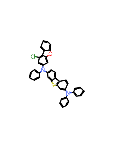 Clc1cc(N(c2ccccc2)c2ccc3c(c2)sc2cc(N(c4ccccc4)c4ccccc4)ccc23)cc2oc3ccccc3c12